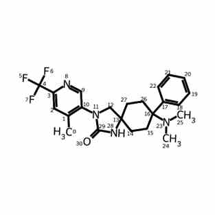 Cc1cc(C(F)(F)F)ncc1N1CC2(CCC(c3ccccc3)(N(C)C)CC2)NC1=O